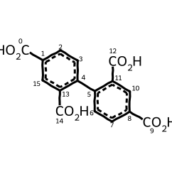 O=C(O)c1ccc(-c2ccc(C(=O)O)cc2C(=O)O)c(C(=O)O)c1